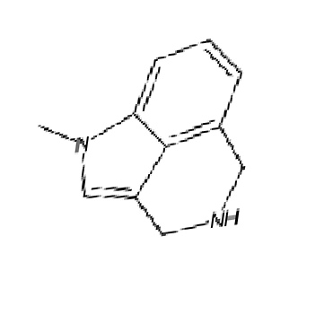 Cn1cc2c3c(cccc31)CNC2